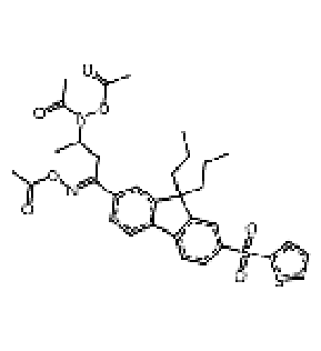 CCCC1(CCC)c2cc(/C(CC(C)N(OC(C)=O)C(C)=O)=N/OC(C)=O)ccc2-c2ccc(S(=O)(=O)c3cccs3)cc21